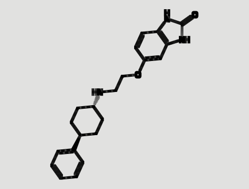 O=c1[nH]c2ccc(OCCN[C@H]3CC[C@H](c4ccccc4)CC3)cc2[nH]1